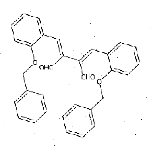 O=CC(=Cc1ccccc1OCc1ccccc1)C(C=O)=Cc1ccccc1OCc1ccccc1